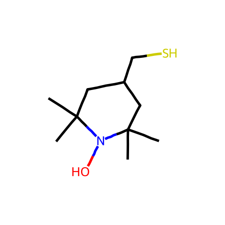 CC1(C)CC(CS)CC(C)(C)N1O